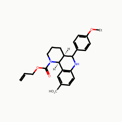 C=CCOC(=O)N1CCC[C@H]2C(c3ccc(OCC)cc3)Nc3ccc(C(=O)O)cc3[C@H]21